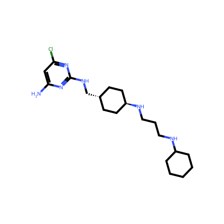 Nc1cc(Cl)nc(NC[C@H]2CC[C@H](NCCCNC3CCCCC3)CC2)n1